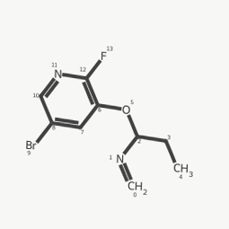 C=NC(CC)Oc1cc(Br)cnc1F